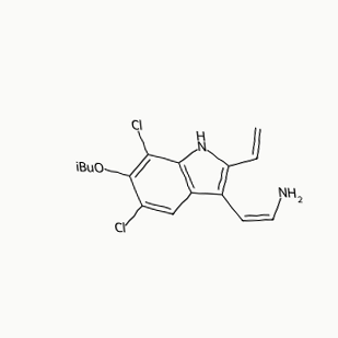 C=Cc1[nH]c2c(Cl)c(OCC(C)C)c(Cl)cc2c1/C=C\N